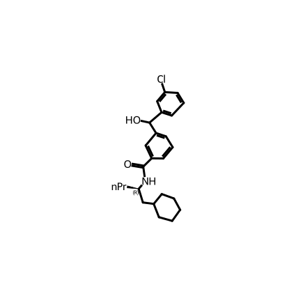 CCC[C@H](CC1CCCCC1)NC(=O)c1cccc(C(O)c2cccc(Cl)c2)c1